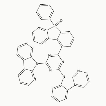 O=P1(c2ccccc2)c2ccccc2-c2c(-c3nc(-n4c5ccccc5c5cccnc54)nc(-n4c5ccccc5c5cccnc54)n3)cccc21